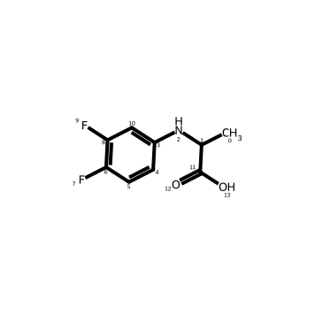 CC(Nc1ccc(F)c(F)c1)C(=O)O